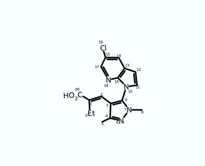 CC/C(=C\c1c(C)nn(C)c1-n1ccc2cc(Cl)cnc21)C(=O)O